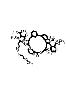 CCn1c(-c2cccnc2[C@H](C)OC)c2c3cc(ccc31)-c1cccc(c1)C[C@H](NC(=O)C(C(C)C)N(C)C(=O)CCN=C=NCCOC)C(=O)N1CCC[C@H](N1)C(=O)OCC(C)(C)C2